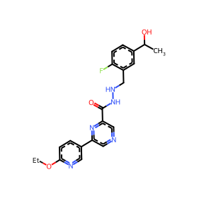 CCOc1ccc(-c2cncc(C(=O)NNCc3cc(C(C)O)ccc3F)n2)cn1